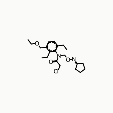 CCOCc1ccc(CC)c(N(CON=C2CCCC2)C(=O)CCl)c1CC